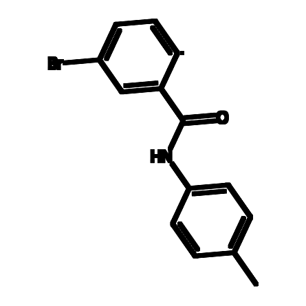 Cc1ccc(NC(=O)c2[c]ccc(Br)c2)cc1